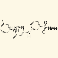 C=C(C)/C=C(\C=C/C)NC(=C)/C=C(\N=C/N)Nc1cccc(S(=O)(=O)NC)c1